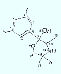 Cc1cc(C)cc(C2(O)OCC(C)(C)NC2C)c1